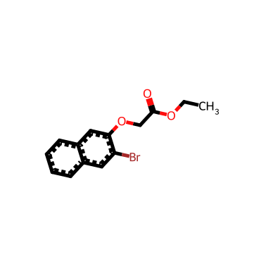 CCOC(=O)COc1cc2ccccc2cc1Br